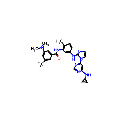 Cc1ccc(Nc2nccn2-c2cc(NC3CC3)ncn2)cc1NC(=O)c1cc(N(C)C)cc(C(F)(F)F)c1